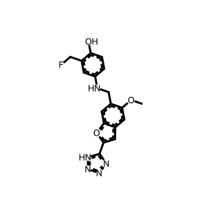 COc1cc2cc(-c3nnn[nH]3)oc2cc1CNc1ccc(O)c(CF)c1